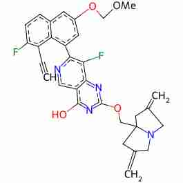 C#Cc1c(F)ccc2cc(OCOC)cc(-c3ncc4c(O)nc(OCC56CC(=C)CN5CC(=C)C6)nc4c3F)c12